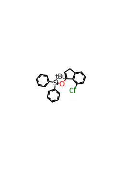 CC(C)(C)[Si](OC1=CCc2cccc(Cl)c21)(c1ccccc1)c1ccccc1